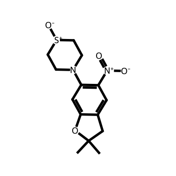 CC1(C)Cc2cc([N+](=O)[O-])c(N3CC[S+]([O-])CC3)cc2O1